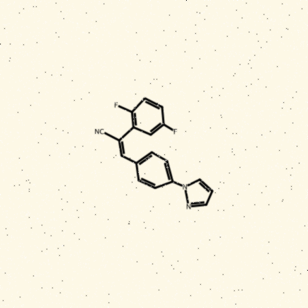 N#CC(=Cc1ccc(-n2cccn2)cc1)c1cc(F)ccc1F